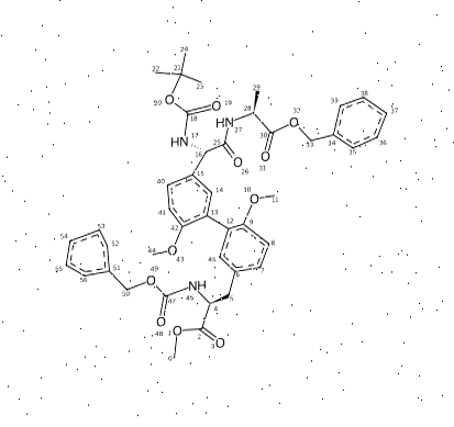 COC(=O)[C@H](Cc1ccc(OC)c(-c2cc([C@H](NC(=O)OC(C)(C)C)C(=O)N[C@@H](C)C(=O)OCc3ccccc3)ccc2OC)c1)NC(=O)OCc1ccccc1